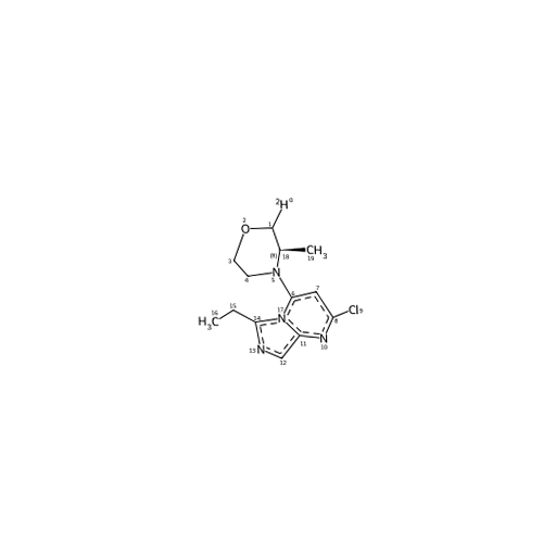 [2H]C1OCCN(c2cc(Cl)nc3cnc(CC)n23)[C@@H]1C